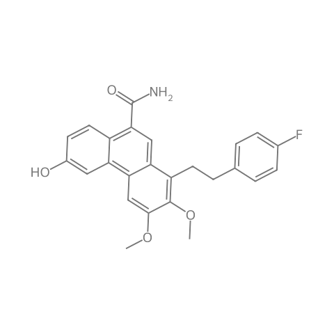 COc1cc2c(cc(C(N)=O)c3ccc(O)cc32)c(CCc2ccc(F)cc2)c1OC